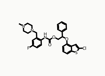 CN1CCN(Cc2cc(F)ccc2NC(=O)OCC(Oc2cccc3sc(Cl)cc23)c2ccccc2)CC1